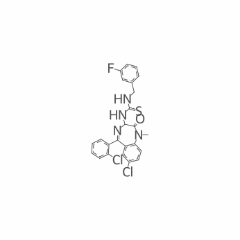 CN1C(=O)C(NC(=S)NCc2cccc(F)c2)N=C(c2ccccc2Cl)c2cc(Cl)ccc21